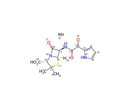 CC1(C)S[C@@H]2[C@H](NC(=O)C(=O)c3ccc[nH]3)C(=O)N2[C@H]1C(=O)O.[KH]